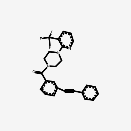 O=C(c1cccc(C#Cc2ccccc2)c1)N1CCN(c2ncccc2C(F)(F)F)CC1